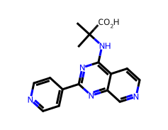 CC(C)(Nc1nc(-c2ccncc2)nc2cnccc12)C(=O)O